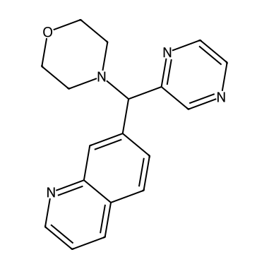 c1cnc2cc(C(c3cnccn3)N3CCOCC3)ccc2c1